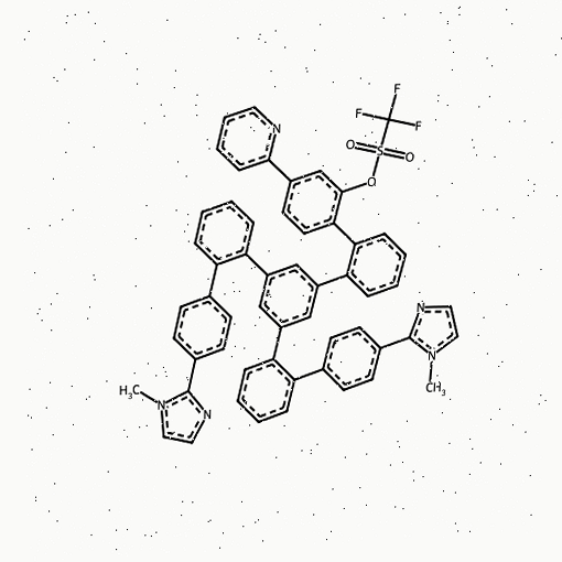 Cn1ccnc1-c1ccc(-c2ccccc2-c2cc(-c3ccccc3-c3ccc(-c4nccn4C)cc3)cc(-c3ccccc3-c3ccc(-c4ccccn4)cc3OS(=O)(=O)C(F)(F)F)c2)cc1